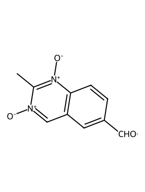 Cc1[n+]([O-])cc2cc([C]=O)ccc2[n+]1[O-]